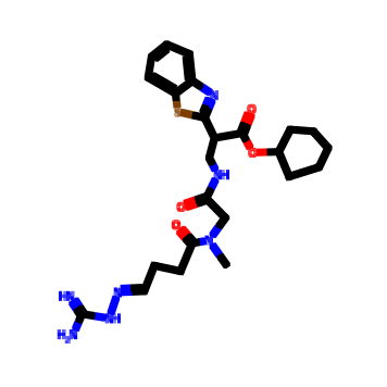 CN(CC(=O)NCC(C(=O)OC1CCCCC1)c1nc2ccccc2s1)C(=O)CCC=NNC(=N)N